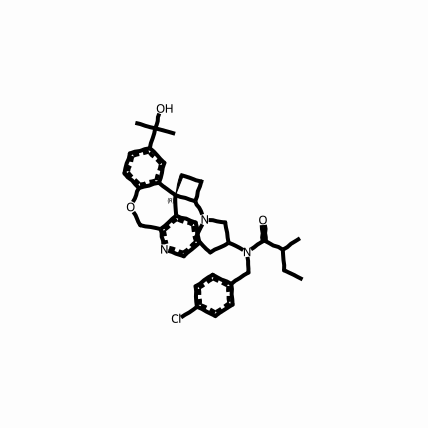 CCC(C)C(=O)N(Cc1ccc(Cl)cc1)C1CCN(C2CC[C@@]23c2cc(C(C)(C)O)ccc2OCc2ncccc23)C1